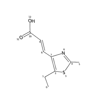 CCc1sc(C)nc1C=CC(=O)O